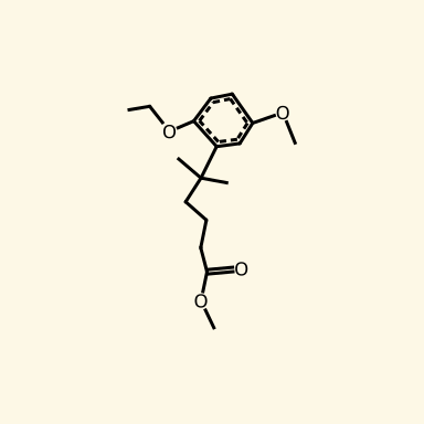 CCOc1ccc(OC)cc1C(C)(C)CCCC(=O)OC